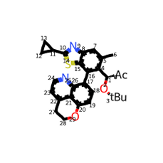 CC(=O)[C@@H](OC(C)(C)C)c1c(C)cc2nc(C3CC3)sc2c1-c1ccc2c3c(ccnc13)CCO2